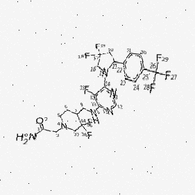 NC(=O)CN1CCC(CNc2ncnc(N3CC(F)(F)CC3c3ccc(C(F)(F)F)cc3)c2F)C(F)(F)C1